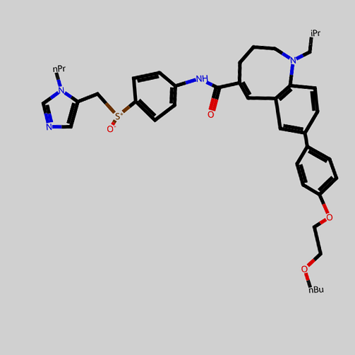 CCCCOCCOc1ccc(-c2ccc3c(c2)C=C(C(=O)Nc2ccc([S+]([O-])Cc4cncn4CCC)cc2)CCCN3CC(C)C)cc1